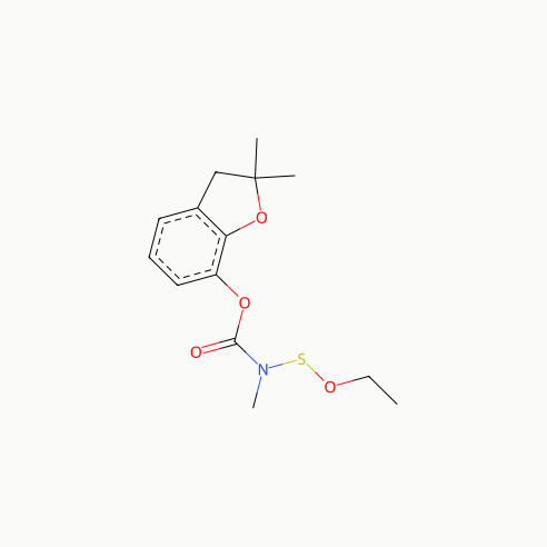 CCOSN(C)C(=O)Oc1cccc2c1OC(C)(C)C2